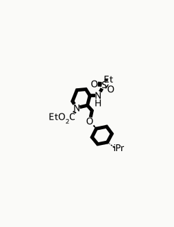 CCOC(=O)N1CCCC(NS(=O)(=O)CC)C1CO[C@H]1CC[C@@H](C(C)C)CC1